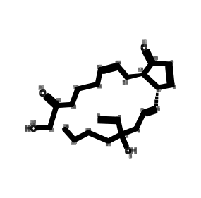 C=CC(O)(C/C=C/[C@H]1C=CC(=O)[C@@H]1C/C=C\CCCC(=O)CO)CCCC